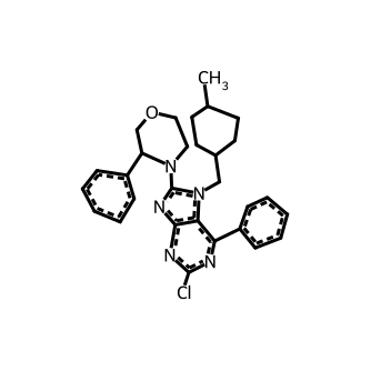 CC1CCC(Cn2c(N3CCOCC3c3ccccc3)nc3nc(Cl)nc(-c4ccccc4)c32)CC1